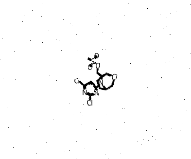 CS(=O)(=O)OCC12CCC(COC1)N2c1cc(Cl)nc(Cl)n1